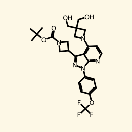 CC(C)(C)OC(=O)N1CC(c2nn(-c3ccc(OC(F)(F)F)cc3)c3nccc(N4CC(CO)(CO)C4)c23)C1